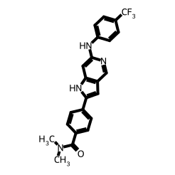 CN(C)C(=O)c1ccc(-c2cc3cnc(Nc4ccc(C(F)(F)F)cc4)cc3[nH]2)cc1